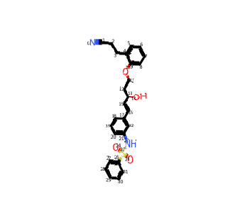 N#CCCc1ccccc1OCC[C@@H](O)/C=C/c1cccc(NS(=O)(=O)c2ccccc2)c1